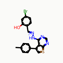 Cc1ccc(-c2csc3ncnc(N/N=C/c4ccc(Br)cc4O)c23)cc1